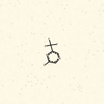 FC(F)(F)c1cncc(Cl)n1